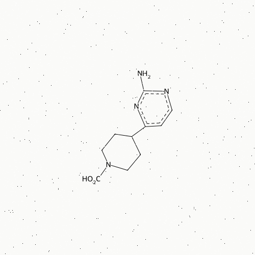 Nc1nccc(C2CCN(C(=O)O)CC2)n1